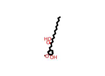 CCCCCCCCCCC[C@H](O)CC(=O)CCc1ccc(O)c(OC)c1